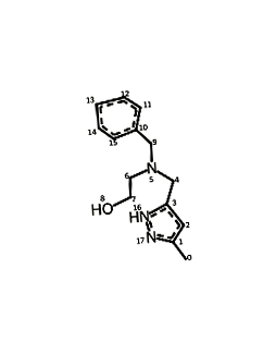 Cc1cc(CN(CCO)Cc2ccccc2)[nH]n1